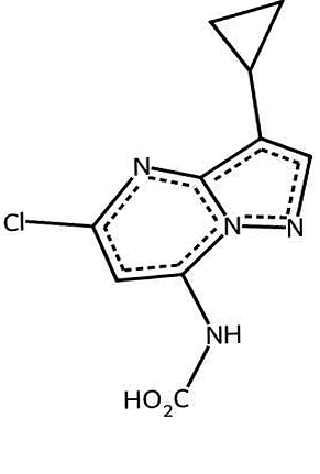 O=C(O)Nc1cc(Cl)nc2c(C3CC3)cnn12